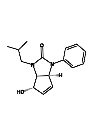 CC(C)CN1C(=O)N(c2ccccc2)[C@H]2C=C[C@H](O)C21